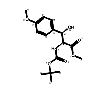 COC(=O)[C@@H](NC(=O)OC(C)(C)C)[C@H](O)c1ccc(OC)cc1